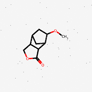 COC1CC2CC1C1C(=O)OCC21